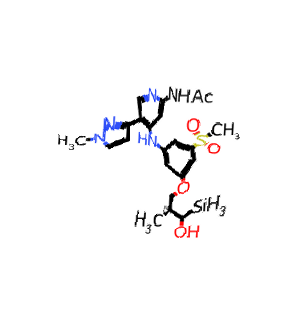 CC(=O)Nc1cc(Nc2cc(OC[C@H](C)C(O)[SiH3])cc(S(C)(=O)=O)c2)c(-c2ccn(C)n2)cn1